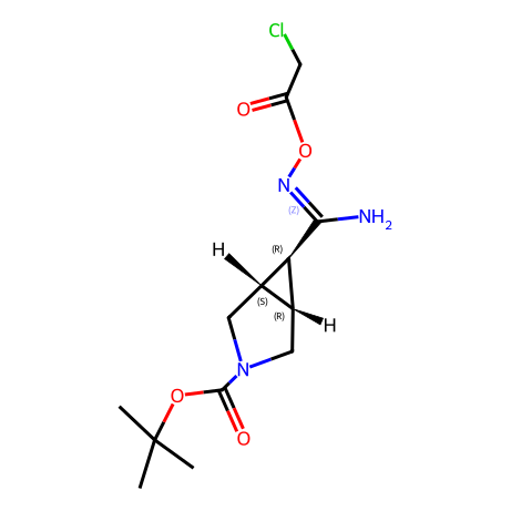 CC(C)(C)OC(=O)N1C[C@@H]2[C@H](C1)[C@H]2/C(N)=N/OC(=O)CCl